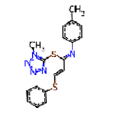 Cc1ccc(N=C(C=CSc2ccccc2)Sc2nnnn2C)cc1